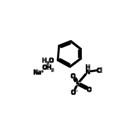 O.O.O=S(=O)([O-])NCl.[Na+].c1ccccc1